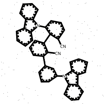 N#Cc1cccc(-n2c3ccccc3c3ccccc32)c1-c1cccc(-c2cccc(-n3c4ccccc4c4ccccc43)c2)c1C#N